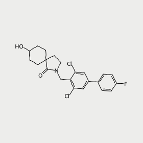 O=C1N(Cc2c(Cl)cc(-c3ccc(F)cc3)cc2Cl)CCC12CCC(O)CC2